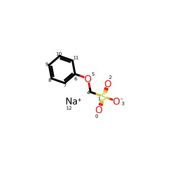 O=S(=O)([O-])COc1ccccc1.[Na+]